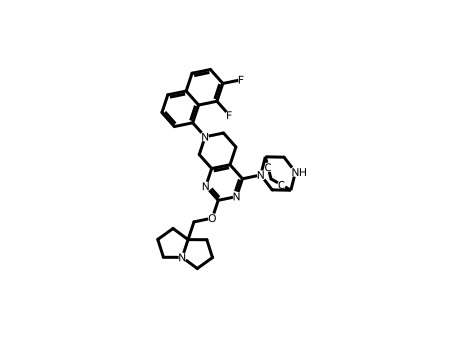 Fc1ccc2cccc(N3CCc4c(nc(OCC56CCCN5CCC6)nc4N4CC5CCCC4CN5)C3)c2c1F